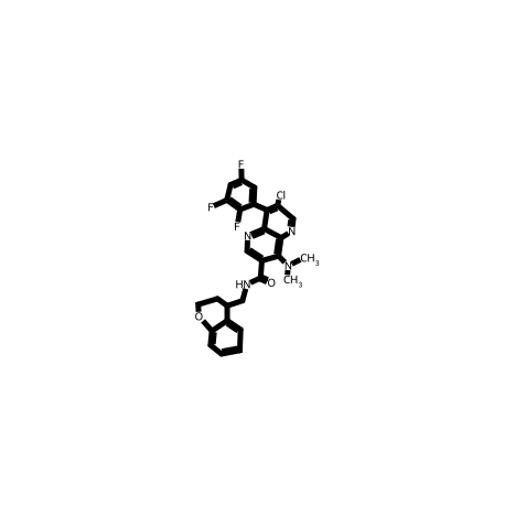 CN(C)c1c(C(=O)NCC2CCOc3ccccc32)cnc2c(-c3cc(F)cc(F)c3F)c(Cl)cnc12